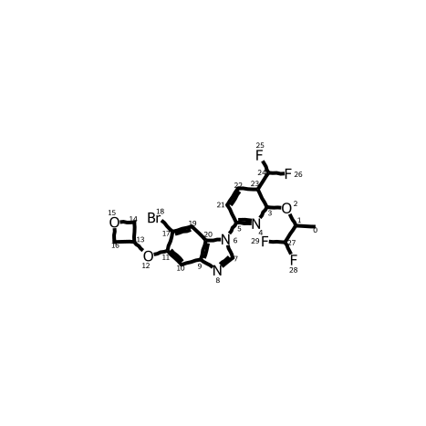 CC(OC1N=C(n2cnc3cc(OC4COC4)c(Br)cc32)C=CC1C(F)F)C(F)F